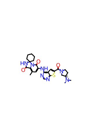 Cc1cc(Nc2ncnc3sc(C(=O)N4CC[C@@H](N(C)C)C4)cc23)c(=O)n2c1C(=O)NC21CCCCC1